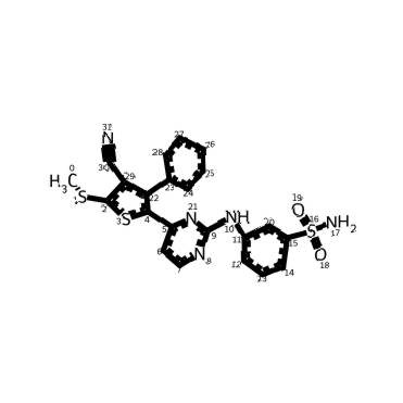 CSc1sc(-c2ccnc(Nc3cccc(S(N)(=O)=O)c3)n2)c(-c2ccccc2)c1C#N